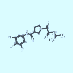 CC(NC(=O)C(=O)N1CCC(C(=O)Nc2cc(F)c(F)c(Cl)c2)C1)C(F)(F)F